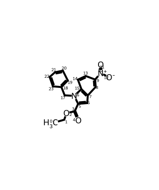 CCOC(=O)c1cc2cc([N+](=O)[O-])ccc2n1Cc1ccccc1